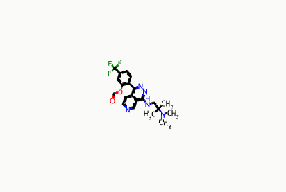 CN(C)C(C)(C)CNc1nnc(-c2ccc(C(F)(F)F)cc2OC=O)c2ccncc12